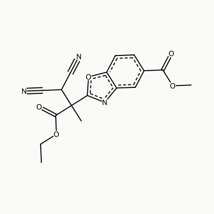 CCOC(=O)C(C)(c1nc2cc(C(=O)OC)ccc2o1)C(C#N)C#N